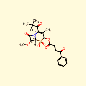 CO[C@H]1C(=O)N2C(C(=O)C(C)(C)C)=C(C)C(OC(=O)CCC(=O)c3ccccc3)S(=O)(=O)[C@H]12